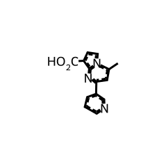 Cc1cc(-c2cccnc2)nc2c(C(=O)O)ccn12